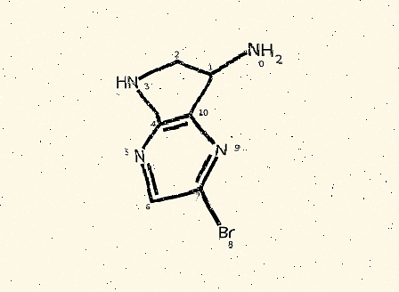 NC1CNc2ncc(Br)nc21